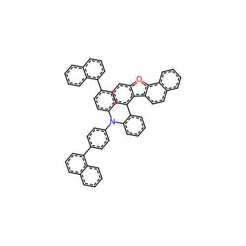 c1ccc(N(c2ccc(-c3cccc4ccccc34)cc2)c2ccc(-c3cccc4ccccc34)cc2)c(-c2cccc3oc4c5ccccc5ccc4c23)c1